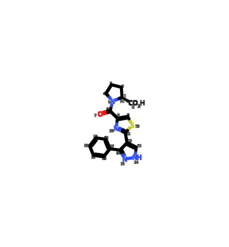 O=C(O)[C@@H]1CCCN1C(=O)c1csc(-c2c[nH]nc2-c2ccccc2)n1